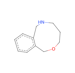 c1ccc2c(c1)CNCCCOC2